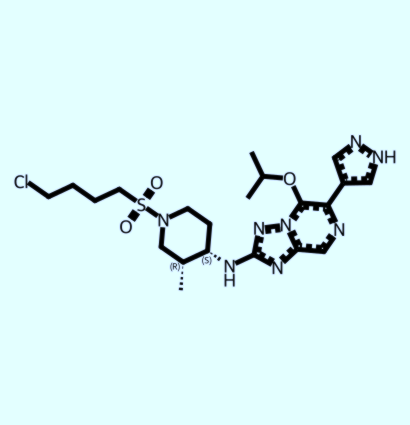 CC(C)Oc1c(-c2cn[nH]c2)ncc2nc(N[C@H]3CCN(S(=O)(=O)CCCCCl)C[C@H]3C)nn12